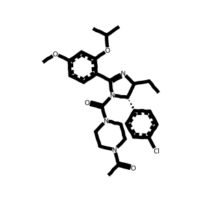 CCC1N=C(c2ccc(OC)cc2OC(C)C)N(C(=O)N2CCN(C(C)=O)CC2)[C@H]1c1ccc(Cl)cc1